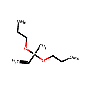 C=C[Si](C)(OCCOC)OCCOC